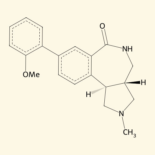 COc1ccccc1-c1ccc2c(c1)C(=O)NC[C@@H]1CN(C)C[C@@H]21